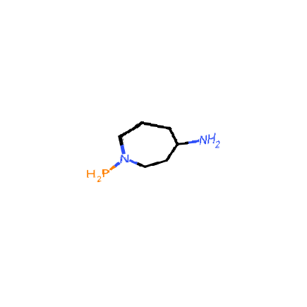 NC1CCCN(P)CC1